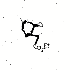 CCOC(=O)Cc1ccc[nH]c1=O